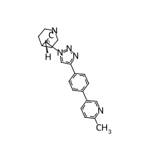 Cc1ccc(-c2ccc(-c3cn([C@H]4CN5CCC4CC5)nn3)cc2)cn1